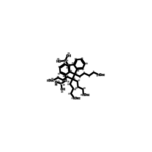 CCCCCCCCCCCCCCC(c1ccccc1OP(O)O)(c1ccccc1OP(O)O)C(CCCCCCCCCCCCC)(CCCCCCCCCCCCC)CCCCCCCCCCCCC